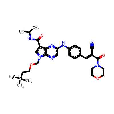 CC(C)NC(=O)c1cn(COCC[Si](C)(C)C)c2ncc(Nc3ccc(/C=C(\C#N)C(=O)N4CCOCC4)cc3)nc12